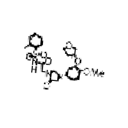 COc1ccc([C@@H]2CC(=O)N(CC(=O)NS(=O)(=O)c3ccccc3C)C2)cc1O[C@@H]1CCOC1